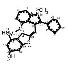 COc1cccc2c1c(C=C1Cc3c(O)cc(O)cc3O1)c(-c1ccccc1)n2C